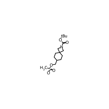 CC(C)(C)OC(=O)N1CC2(CCC(COS(C)(=O)=O)CC2)C1